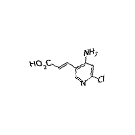 Nc1cc(Cl)ncc1C=CC(=O)O